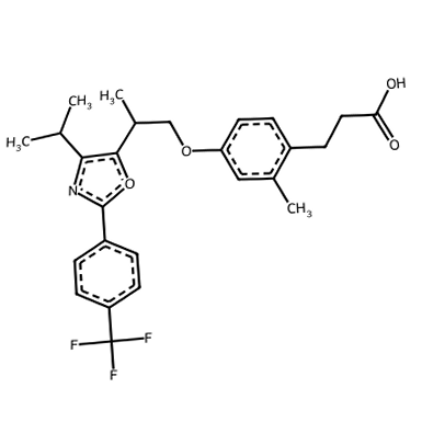 Cc1cc(OCC(C)c2oc(-c3ccc(C(F)(F)F)cc3)nc2C(C)C)ccc1CCC(=O)O